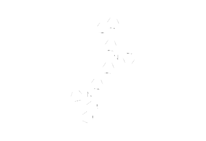 c1ccc(N(c2ccc(-c3ccc(-n4c5ccccc5c5c6ccccc6ccc54)cc3)cc2)c2ccc(-c3cccc4ccccc34)cc2)cc1